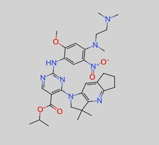 COc1cc(N(C)CCN(C)C)c([N+](=O)[O-])cc1Nc1ncc(C(=O)OC(C)C)c(N2CC(C)(C)c3nc4c(cc32)CCC4)n1